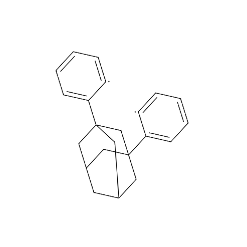 [c]1ccccc1C12CC3CC(C1)CC(c1[c]cccc1)(C3)C2